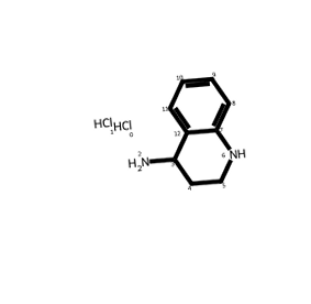 Cl.Cl.NC1CCNc2ccccc21